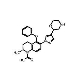 C[C@H]1CCc2c(ccc(-n3cc(C4CNCCO4)cn3)c2Oc2ccccc2)N1C(=O)O